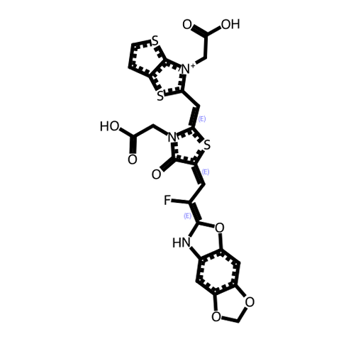 O=C(O)Cn1c(=O)/c(=C\C(F)=C2\Nc3cc4c(cc3O2)OCO4)s/c1=C/c1sc2ccsc2[n+]1CC(=O)O